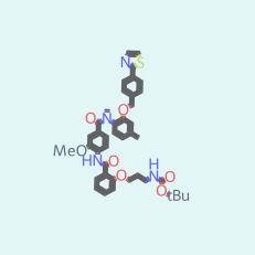 COc1cc(C(=O)N(C)c2ccc(C)cc2OCc2ccc(-c3nccs3)cc2)ccc1NC(=O)c1ccccc1OCCCNC(=O)OC(C)(C)C